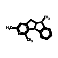 Cc1cc2c(c(C)n1)N1c3ccccc3N(C)C1C2